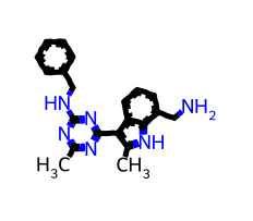 Cc1nc(NCc2ccccc2)nc(-c2c(C)[nH]c3c(CN)cccc23)n1